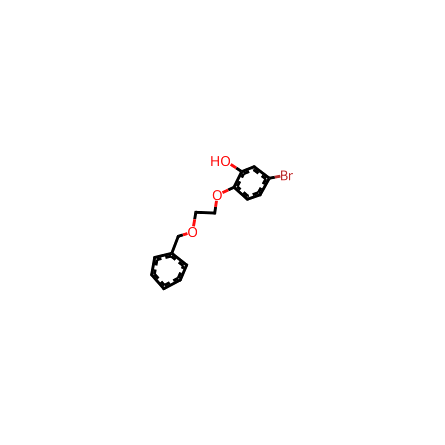 Oc1cc(Br)ccc1OCCOCc1ccccc1